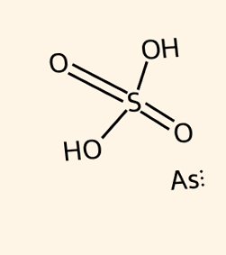 O=S(=O)(O)O.[As]